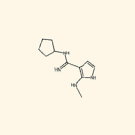 CNc1[nH]ccc1C(=N)NC1CCCC1